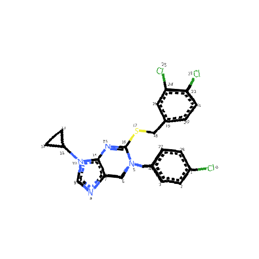 Clc1ccc(N2Cc3ncn(C4CC4)c3N=C2SCc2ccc(Cl)c(Cl)c2)cc1